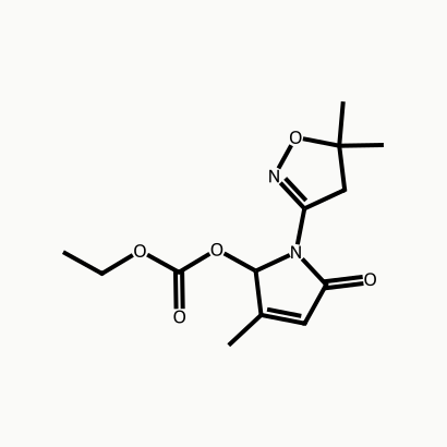 CCOC(=O)OC1C(C)=CC(=O)N1C1=NOC(C)(C)C1